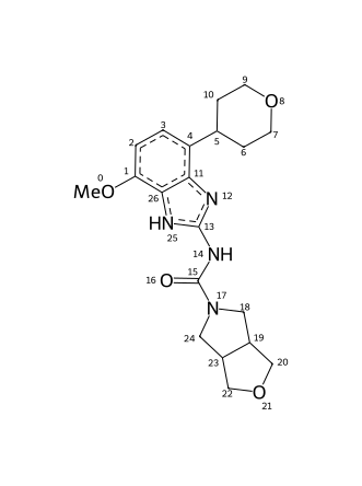 COc1ccc(C2CCOCC2)c2nc(NC(=O)N3CC4COCC4C3)[nH]c12